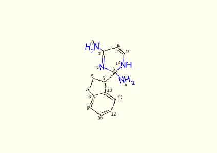 NC1=NC(N)(C2CCc3ccccc32)NC=C1